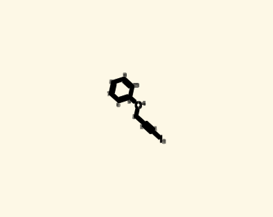 IC#CCOc1cc[c]cc1